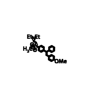 CCN(CC)CCN(c1ccc(C(=Cc2ccc(OC)cc2)c2ccccc2)cc1)S(C)(=O)=O